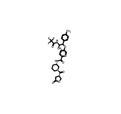 Cc1ccc(C(Oc2ccc(C(=O)N[C@H]3CCCN(C(=O)[C@H]4COC(=O)C4)C3)nc2)C(C)NC(=O)C(F)(F)F)cc1